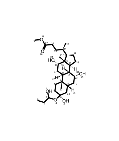 CCC(O)O[C@@]1(O)CC[C@@]2(C)[C@H](C[C@@H](O)[C@@H]3[C@@H]2C[C@H](O)[C@]2(C)[C@@H]([C@H](C)CCC(=O)OC)CC[C@@H]32)C1